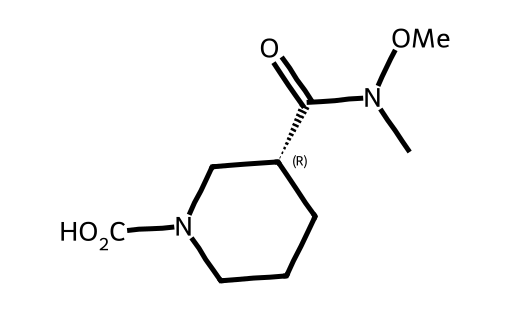 CON(C)C(=O)[C@@H]1CCCN(C(=O)O)C1